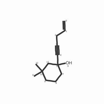 C=CCC#CC1(O)CCCC(C)(C)C1